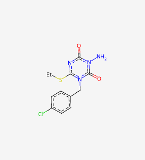 CCSc1nc(=O)n(N)c(=O)n1Cc1ccc(Cl)cc1